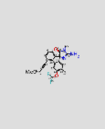 COCC#Cc1cccc(C2(c3ccc(OC(F)F)c(C)c3)N=C(N)N(C)C2=O)c1